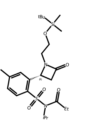 CCC(=O)N(C(C)C)S(=O)(=O)c1ccc(C)cc1[C@H]1CC(=O)N1CCO[Si](C)(C)C(C)(C)C